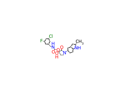 Cc1cc2cc(N3CCC(O)(OC(=O)NCc4cc(F)cc(Cl)c4)C3=O)ccc2[nH]1